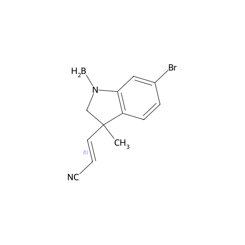 BN1CC(C)(/C=C/C#N)c2ccc(Br)cc21